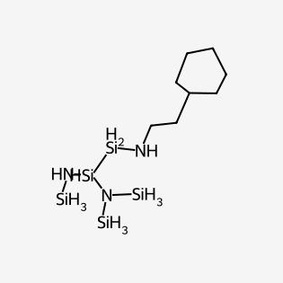 [SiH3]N[SiH]([SiH2]NCCC1CCCCC1)N([SiH3])[SiH3]